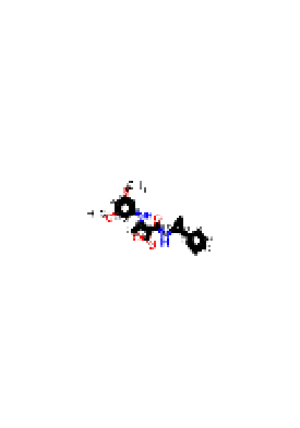 COc1cc(NC2=C(C(=O)NC3CC3c3ccccc3)C(=O)OC2)cc(OC)c1